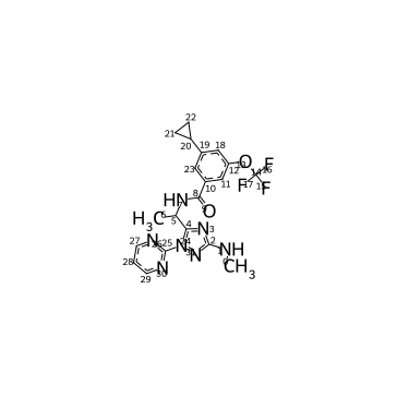 CNc1nc(C(C)NC(=O)c2cc(OC(F)(F)F)cc(C3CC3)c2)n(-c2ncccn2)n1